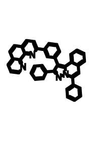 c1ccc(-c2nn3c(-c4ccccc4)cc4ccccc4c3c2-c2cccc(-c3ccc4ccc5cccnc5c4n3)c2)cc1